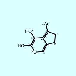 CC(=O)C1=C2C(=COC(O)=C2O)CC1